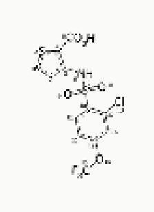 O=C(O)c1sccc1NS(=O)(=O)c1ccc(OC(F)(F)F)cc1Cl